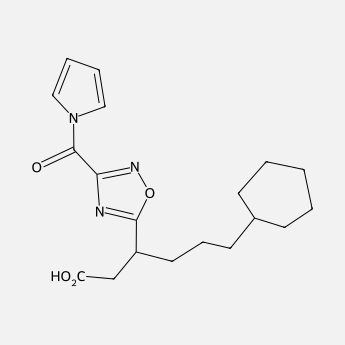 O=C(O)CC(CCCC1CCCCC1)c1nc(C(=O)n2cccc2)no1